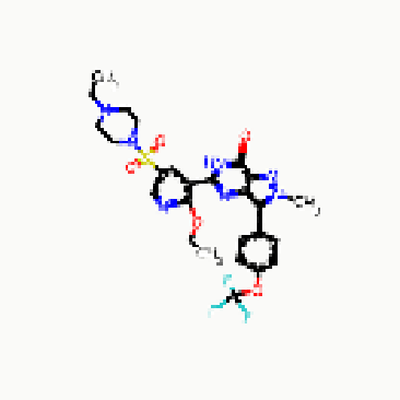 CCOc1ncc(S(=O)(=O)N2CCN(CC)CC2)cc1-c1nc2c(-c3ccc(OC(F)(F)F)cc3)n(C)nc2c(=O)[nH]1